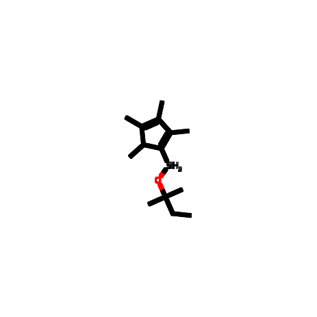 CCC(C)(C)O[SiH2]C1=C(C)C(C)=C(C)C1C